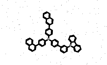 c1cc(-c2ccc(N(c3ccc(-c4ccc5ccccc5c4)cc3)c3ccc(-c4cccc5ccccc45)cc3)cc2)cc(-n2c3ccccc3c3ccccc32)c1